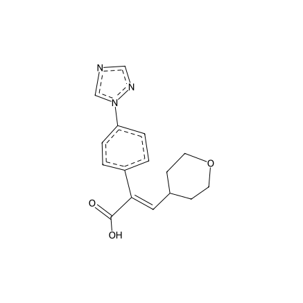 O=C(O)/C(=C/C1CCOCC1)c1ccc(-n2cncn2)cc1